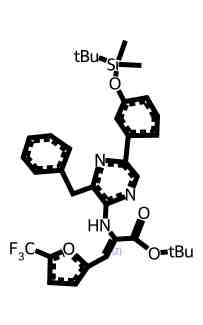 CC(C)(C)OC(=O)/C(=C/c1ccc(C(F)(F)F)o1)Nc1ncc(-c2cccc(O[Si](C)(C)C(C)(C)C)c2)nc1Cc1ccccc1